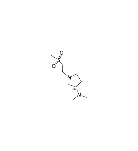 CN(C)[C@H]1CCN(CCS(C)(=O)=O)C1